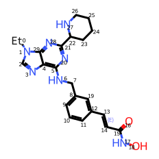 CCn1cnc2c(NCc3cccc(/C=C/C(=O)NO)c3)nc(C3CCCCN3)nc21